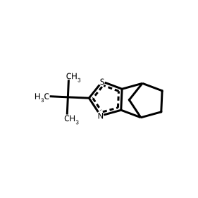 CC(C)(C)c1nc2c(s1)C1CCC2C1